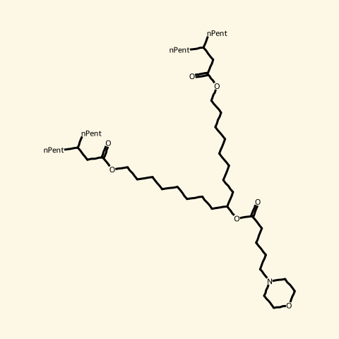 CCCCCC(CCCCC)CC(=O)OCCCCCCCCC(CCCCCCCCOC(=O)CC(CCCCC)CCCCC)OC(=O)CCCCN1CCOCC1